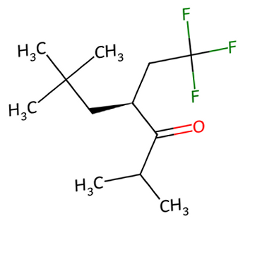 CC(C)C(=O)[C@@H](CC(C)(C)C)CC(F)(F)F